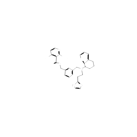 Cc1ccnc(C)c1C(=O)NCc1cccc(CN(CCc2ncc[nH]2)C2CCCc3cccnc32)c1